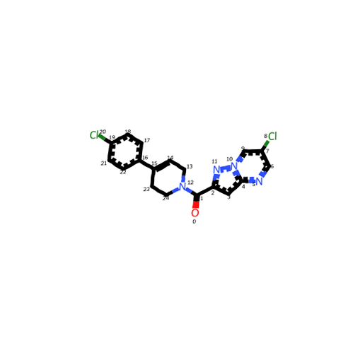 O=C(c1cc2ncc(Cl)cn2n1)N1CC=C(c2ccc(Cl)cc2)CC1